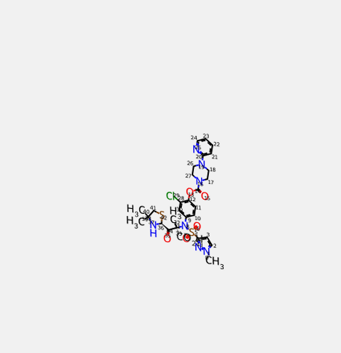 Cn1ccc(S(=O)(=O)N(c2ccc(OC(=O)N3CCN(c4ccccn4)CC3)c(Cl)c2)[C@@](C)(C(=O)O)C(=O)[C@H]2NC(C)(C)CS2)n1